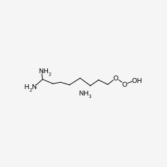 N.NC(N)CCCCCCCOOO